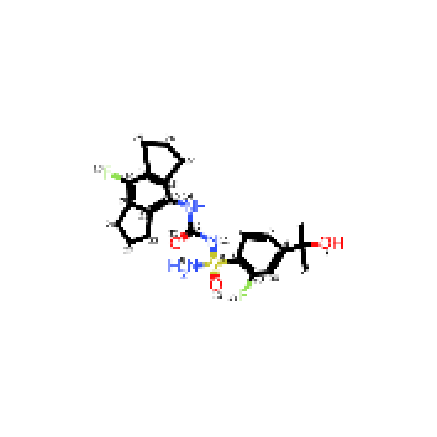 CC(C)(O)c1ccc(S(N)(=O)=NC(=O)Nc2c3c(c(F)c4c2CCC4)CCC3)c(F)c1